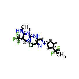 CNc1nc(Nc2cn([C@@H]3CCC(C(C)(F)F)C3)nc2Cl)ncc1C(F)(F)F